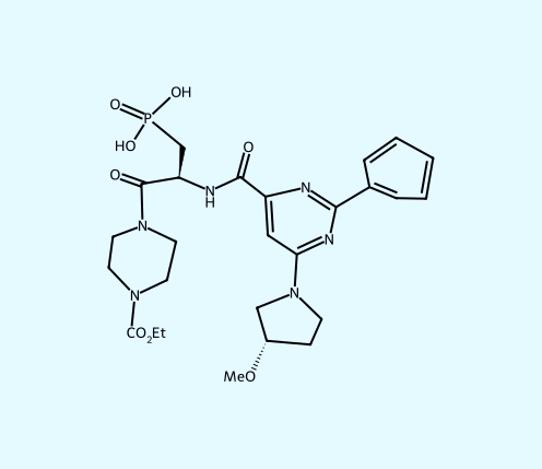 CCOC(=O)N1CCN(C(=O)[C@@H](CP(=O)(O)O)NC(=O)c2cc(N3CC[C@H](OC)C3)nc(-c3ccccc3)n2)CC1